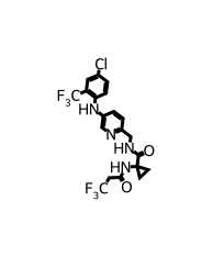 O=C(CC(F)(F)F)NC1(C(=O)NCc2ccc(Nc3ccc(Cl)cc3C(F)(F)F)cn2)CC1